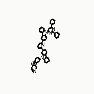 c1ccc(-c2cc(-n3c4ccccc4c4cc(-c5cccc(-c6ccc7c8ccccc8n(-c8ccc9oc%10ccncc%10c9c8)c7c6)n5)ccc43)nc(-c3ccccc3)n2)cc1